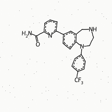 NC(=O)c1cccc(-c2ccc3c(c2)CNCCN3c2ccc(C(F)(F)F)cc2)n1